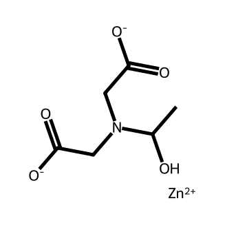 CC(O)N(CC(=O)[O-])CC(=O)[O-].[Zn+2]